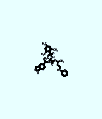 Cc1cc(C)c(S(=O)(=O)N[C@](C)(NC(=O)c2ccc3[nH]ncc3c2)C(=O)OC(C)CCNc2ccccn2)c(C)c1